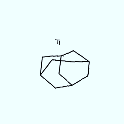 C1[C]2CC3CC1CC(C2)C3.[Ti]